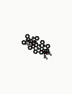 CC(C)(C)c1ccc(-c2cccc(-c3ccc(C(C)(C)C)cc3)c2N2c3cc4c(cc3B3c5ccccc5N(c5ccccc5)c5c3c2cc2oc3ccccc3c52)B2c3ccccc3Oc3c2c(cc2c3c3ccccc3n2-c2ccccc2)N4c2ccccc2)cc1